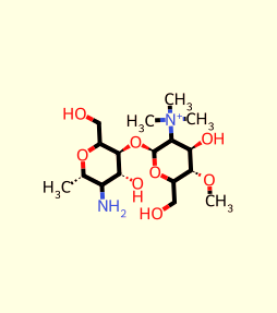 CO[C@@H]1C(CO)O[C@@H](O[C@@H]2C(CO)O[C@@H](C)C(N)[C@H]2O)C([N+](C)(C)C)[C@H]1O